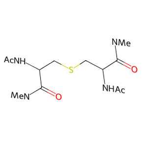 CNC(=O)C(CSCC(NC(C)=O)C(=O)NC)NC(C)=O